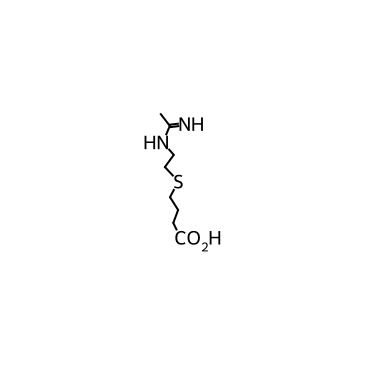 CC(=N)NCCSCCCC(=O)O